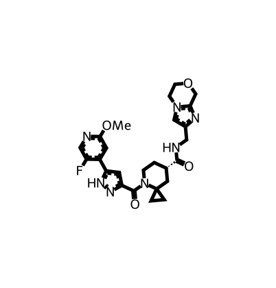 COc1cc(-c2cc(C(=O)N3CC[C@H](C(=O)NCc4cn5c(n4)COCC5)CC34CC4)n[nH]2)c(F)cn1